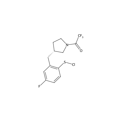 O=C(N1CC[C@@H](Cc2cc(F)ccc2SCl)C1)C(F)(F)F